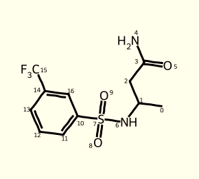 CC(CC(N)=O)NS(=O)(=O)c1cccc(C(F)(F)F)c1